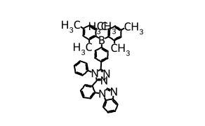 Cc1cc(C)c(B(c2ccc(-c3nnc(-c4ccccc4-n4cnc5ccccc54)n3-c3ccccc3)cc2)c2c(C)cc(C)cc2C)c(C)c1